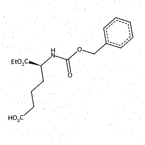 CCOC(=O)[C@H](CCCC(=O)O)NC(=O)OCc1ccccc1